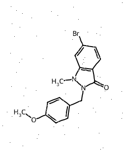 COc1ccc(Cn2c(=O)c3ccc(Br)cc3n2C)cc1